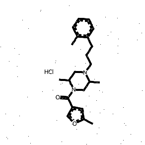 Cc1cc(C(=O)N2CC(C)N(CCCc3ccccc3C)CC2C)co1.Cl